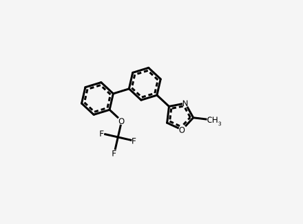 Cc1nc(-c2cccc(-c3ccccc3OC(F)(F)F)c2)co1